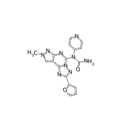 Cn1cc2c(nc(N(C(N)=O)c3ccncc3)n3nc(-c4ccco4)nc23)n1